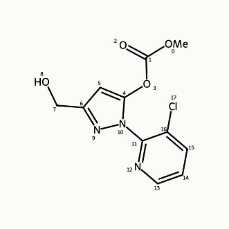 COC(=O)Oc1cc(CO)nn1-c1ncccc1Cl